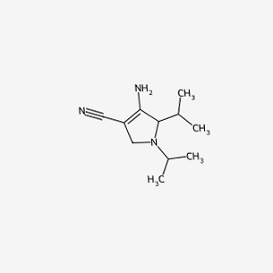 CC(C)C1C(N)=C(C#N)CN1C(C)C